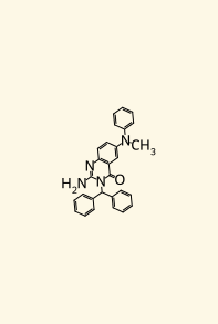 CN(c1ccccc1)c1ccc2nc(N)n(C(c3ccccc3)c3ccccc3)c(=O)c2c1